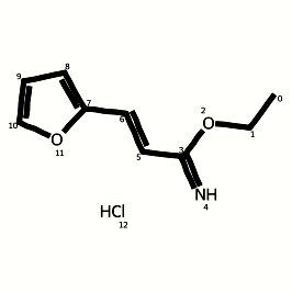 CCOC(=N)C=Cc1ccco1.Cl